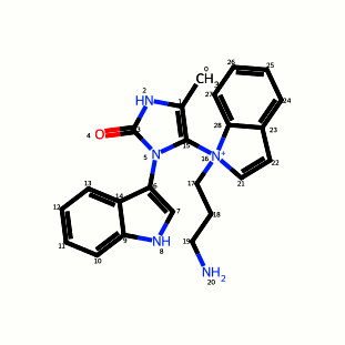 Cc1[nH]c(=O)n(-c2c[nH]c3ccccc23)c1[N+]1(CCCN)C=Cc2ccccc21